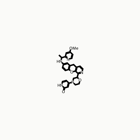 COc1ccnc(C(C)Nc2ccc3c(c2)Cc2ccnc(C4CN(c5cc[nH]c(=O)c5)CCO4)c2O3)c1